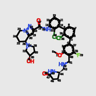 COc1cc(-c2cccc(-c3cccc(NC(=O)c4cc5n(n4)CCCC5N4CC[C@@H](O)C4)c3Cl)c2Cl)cc(F)c1CNC[C@@H]1CCC(=O)N1